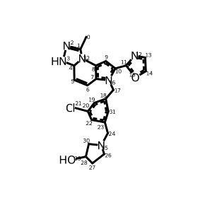 CC1=NNC2C=Cc3c(cc(-c4ncco4)n3Cc3cc(Cl)cc(CN4CCC(O)C4)c3)N12